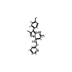 Cc1ccc(-c2c(C)nn3c(NCc4ccccn4)cc(C)nc23)cc1